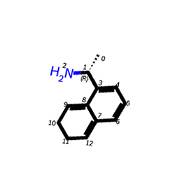 C[C@@H](N)c1cccc2c1=CCCC=2